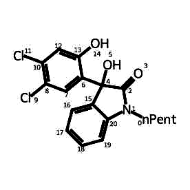 CCCCCN1C(=O)C(O)(c2cc(Cl)c(Cl)cc2O)c2ccccc21